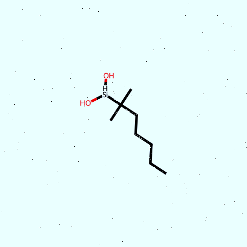 CCCCCC(C)(C)[SiH](O)O